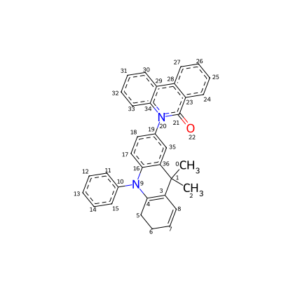 CC1(C)C2=C(CCC=C2)N(c2ccccc2)c2ccc(-n3c(=O)c4ccccc4c4ccccc43)cc21